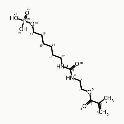 C=C(C)C(=O)OCCNC(=O)NCCCCCCOP(=O)(O)O